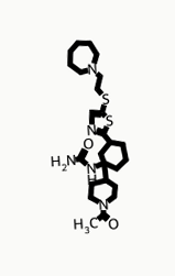 CC(=O)N1CCC(C2(NC(N)=O)CCCC(c3ncc(SCCN4CCCCCC4)s3)C2)CC1